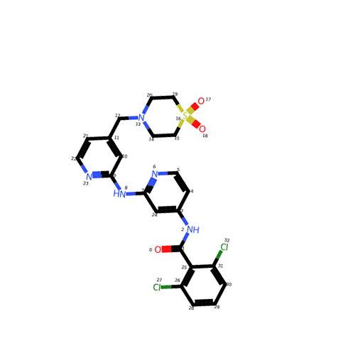 O=C(Nc1ccnc(Nc2cc(CN3CCS(=O)(=O)CC3)ccn2)c1)c1c(Cl)cccc1Cl